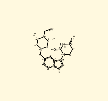 CC(C)CN1[C@H](C)CN(Cc2ccn3ncc(N4CCC(=O)NC4=O)c3c2)C[C@@H]1C